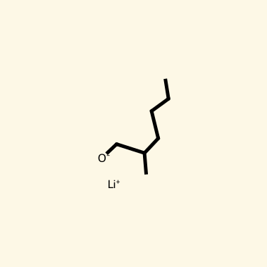 CCCCC(C)C[O-].[Li+]